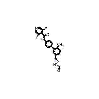 Cc1ccc(/C=N/NC=O)cc1-c1ccc(NC(=O)c2c(F)cncc2F)cc1